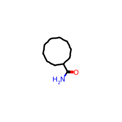 NC(=O)C1CCCCCCCCC1